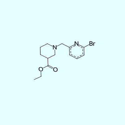 CCOC(=O)C1CCCN(Cc2cccc(Br)n2)C1